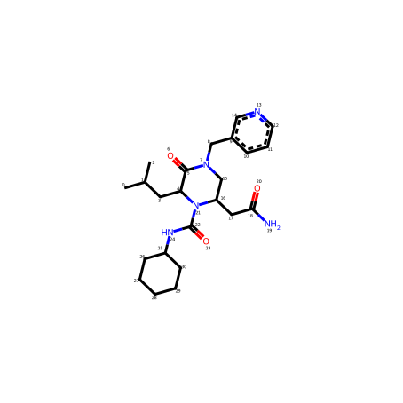 CC(C)CC1C(=O)N(Cc2cccnc2)CC(CC(N)=O)N1C(=O)NC1CCCCC1